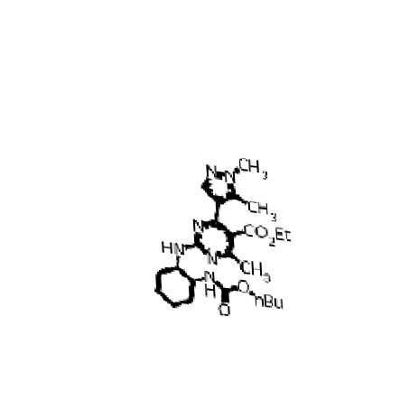 CCCCOC(=O)N[C@H]1CCCC[C@H]1Nc1nc(C)c(C(=O)OCC)c(-c2cnn(C)c2C)n1